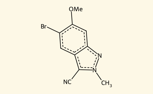 COc1cc2nn(C)c(C#N)c2cc1Br